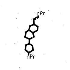 CCC/C=C/C1CCC2CC(C3CCC(CCC)CC3)CCC2C1